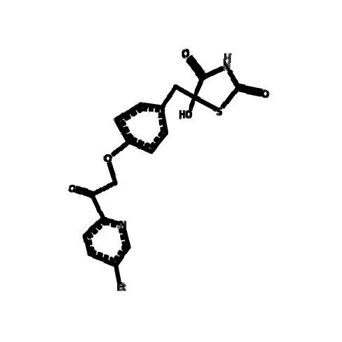 CCc1ccc(C(=O)COc2ccc(CC3(O)SC(=O)NC3=O)cc2)nc1